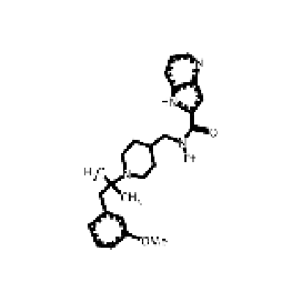 CCN(CC1CCN(C(C)(C)Cc2cccc(OC)c2)CC1)C(=O)c1cc2ncccc2[nH]1